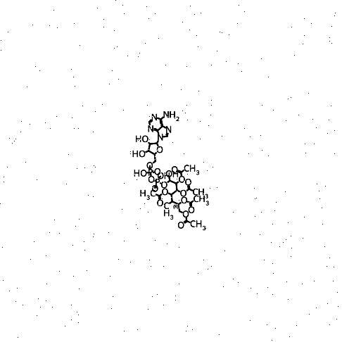 CC(=O)OC[C@H](OC(C)=O)C(C)C(OC(C)=O)C(OC(C)=O)C(OC(C)=O)C(O)OP(=O)(O)OP(=O)(O)OCC1OC(n2cnc3c(N)ncnc32)C(O)C1O